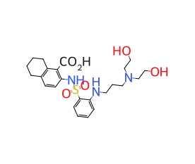 O=C(O)c1c(NS(=O)(=O)c2ccccc2NCCCN(CCO)CCO)ccc2c1CCCC2